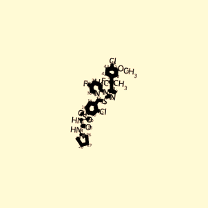 COc1cc(C(C)(C)c2cnc(SCc3ccc(S(=O)(=O)NC(=O)NN4CCCC4)cc3Cl)n2-c2ncc(F)cc2F)ccc1Cl